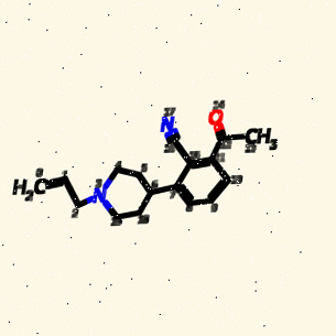 C=CCN1CCC(c2cccc(C(C)=O)c2C#N)CC1